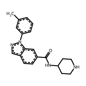 Cc1cccc(-n2ncc3ccc(C(=O)NC4CCNCC4)cc32)c1